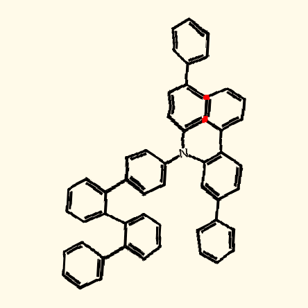 c1ccc(-c2ccc(N(c3ccc(-c4ccccc4-c4ccccc4-c4ccccc4)cc3)c3cc(-c4ccccc4)ccc3-c3ccccc3)cc2)cc1